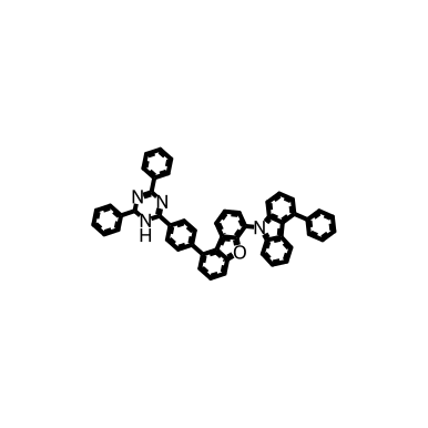 c1ccc(C2=NC(c3ccccc3)NC(c3ccc(-c4cccc5oc6c(-n7c8ccccc8c8c(-c9ccccc9)cccc87)cccc6c45)cc3)=N2)cc1